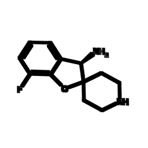 N[C@@H]1c2cccc(F)c2OC12CCNCC2